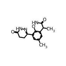 Cc1cc(C2=NNC(=O)CC2)c2c(c1)C(C)C(=O)NO2